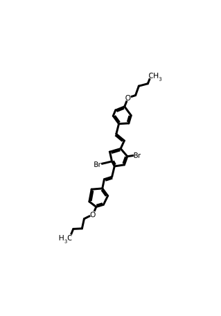 CCCCOc1ccc(C=Cc2cc(Br)c(C=Cc3ccc(OCCCC)cc3)cc2Br)cc1